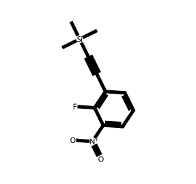 C[Si](C)(C)C#Cc1cccc([N+](=O)[O-])c1F